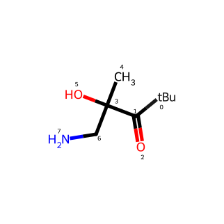 CC(C)(C)C(=O)C(C)(O)CN